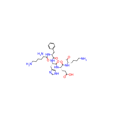 NCCCC[C@@H]([C]=O)NC(=O)[C@H](CCC(=O)O)NC(=O)[C@H](Cc1c[nH]cn1)NC(=O)[C@H](Cc1ccccc1)NC(=O)[C@@H](N)CCCCN